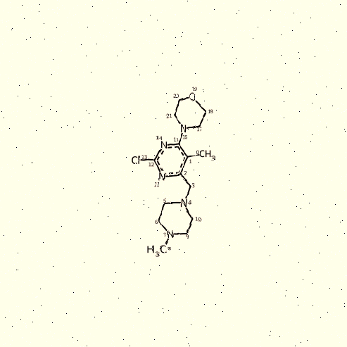 Cc1c(CN2CCN(C)CC2)nc(Cl)nc1N1CCOCC1